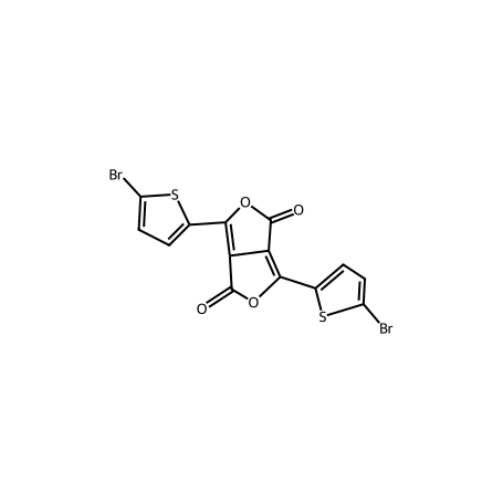 O=C1OC(c2ccc(Br)s2)=C2C(=O)OC(c3ccc(Br)s3)=C12